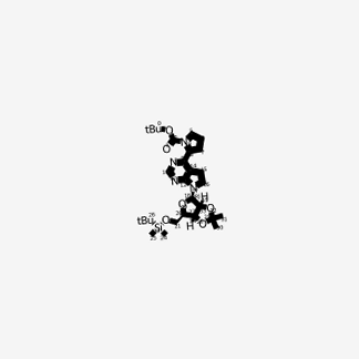 CC(C)(C)OC(=O)n1cccc1-c1ncnc2c1ccn2[C@@H]1O[C@H](CO[Si](C)(C)C(C)(C)C)[C@H]2OC(C)(C)O[C@H]21